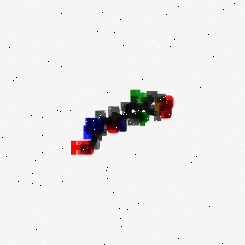 O=S1(=O)CCC(F)(c2c(F)cc(C3=NO/C(=C\n4cc(CO)nn4)C3)cc2F)CC1